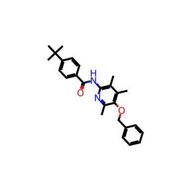 Cc1nc(NC(=O)c2ccc(C(C)(C)C)cc2)c(C)c(C)c1OCc1ccccc1